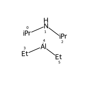 CC(C)NC(C)C.C[CH2][Al][CH2]C